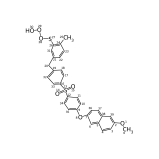 COc1ccc2cc(Oc3ccc(S(=O)(=O)c4ccc(Cc5ccc(C)c(SOOO)c5)cc4)cc3)ccc2c1